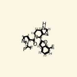 O=C(c1ccnn1C(F)F)N1CCc2[nH]cnc2[C@H]1c1cc2cccc(F)c2o1